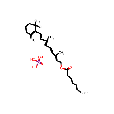 CCCCCCCCCCCCCCCC(=O)OC/C=C(C)/C=C/C=C(C)/C=C/C1=C(C)CCCC1(C)C.O=P(O)(O)O